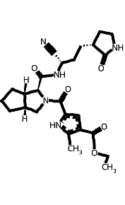 CCOC(=O)c1cc(C(=O)N2C[C@@H]3CCC[C@@H]3[C@H]2C(=O)N[C@H](C#N)CC[C@@H]2CCNC2=O)[nH]c1C